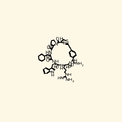 N=C(N)NCCC[C@H]1NC(=O)[C@H](Cc2c[nH]c3ccccc23)NC(=O)[C@@H](CC2CCCCC2)NC(=O)[C@@H]2CCCN2C(=O)[C@@H]2CSC(=N2)c2ccc(cc2)[C@@H](C(N)=O)NC1=O